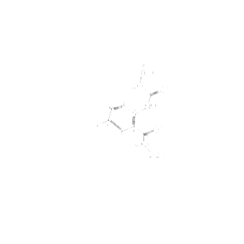 CCCNC(=O)c1cc(C)ccc1NC(=O)OC(C)(C)C